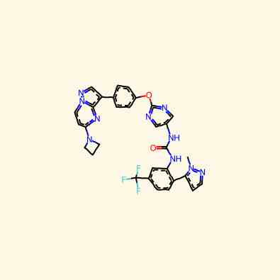 Cn1nccc1-c1ccc(C(F)(F)F)cc1NC(=O)Nc1cnc(Oc2ccc(-c3cnn4ccc(N5CCC5)nc34)cc2)nc1